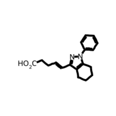 O=C(O)CCC=Cc1nn(-c2ccccc2)c2c1CCCC2